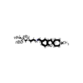 CCC[CH2][Sn]([CH2]CCC)([CH2]CCC)[CH2]OCC/N=C/c1ccc2c(c1)CC1(CCN(C)CC1)O2